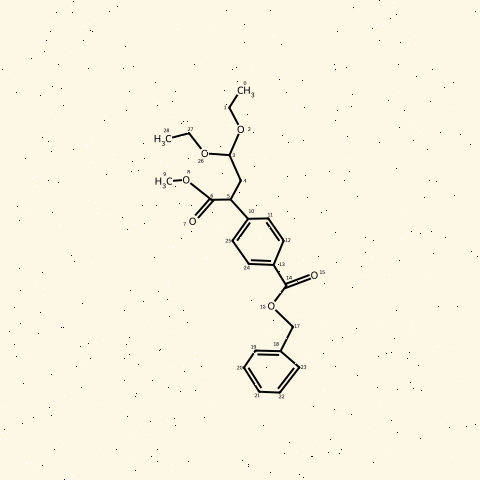 CCOC(CC(C(=O)OC)c1ccc(C(=O)OCc2ccccc2)cc1)OCC